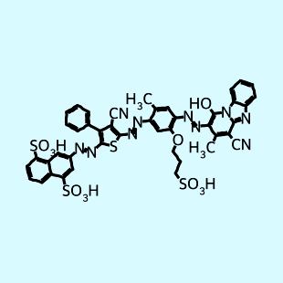 Cc1cc(N=Nc2c(C)c(C#N)c3nc4ccccc4n3c2O)c(OCCCS(=O)(=O)O)cc1N=Nc1sc(N=Nc2cc(S(=O)(=O)O)c3cccc(S(=O)(=O)O)c3c2)c(-c2ccccc2)c1C#N